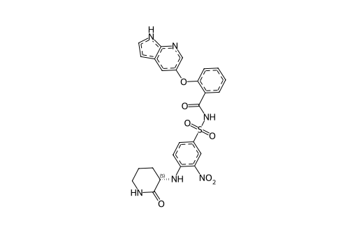 O=C(NS(=O)(=O)c1ccc(N[C@H]2CCCNC2=O)c([N+](=O)[O-])c1)c1ccccc1Oc1cnc2[nH]ccc2c1